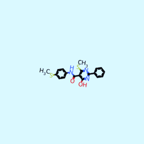 CSc1ccc(NC(=O)c2c(O)nc(-c3ccccc3)nc2SC)cc1